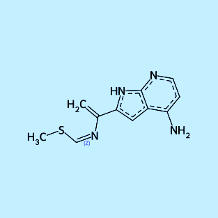 C=C(/N=C\SC)c1cc2c(N)ccnc2[nH]1